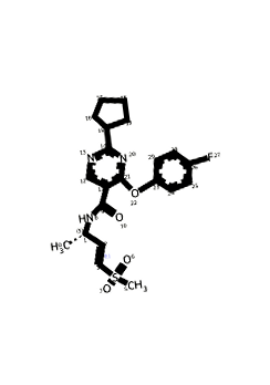 C[C@@H](/C=C/S(C)(=O)=O)NC(=O)c1cnc(C2CCCC2)nc1Oc1ccc(F)cc1